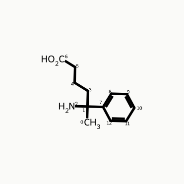 CC(N)(CCCC(=O)O)c1ccccc1